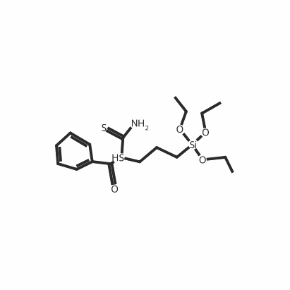 CCO[Si](CCC[SH](C(=O)c1ccccc1)C(N)=S)(OCC)OCC